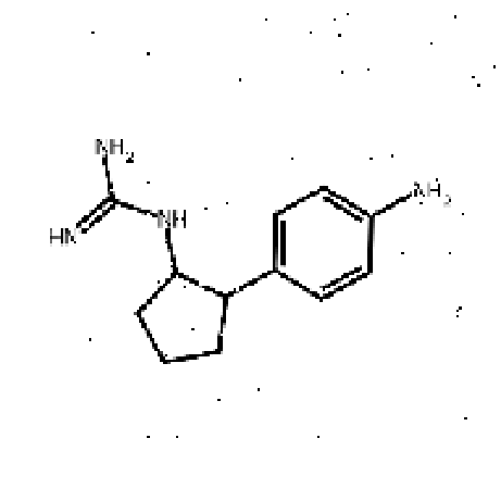 N=C(N)NC1CCCC1c1ccc(N)cc1